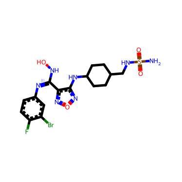 NS(=O)(=O)NCC1CCC(Nc2nonc2/C(=N\c2ccc(F)c(Br)c2)NO)CC1